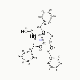 CCC(OCc1ccccc1)/C(OCc1ccccc1)=C(/NCO)OCc1ccccc1